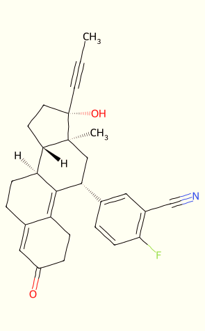 CC#C[C@]1(O)CC[C@H]2[C@@H]3CCC4=CC(=O)CCC4=C3[C@@H](c3ccc(F)c(C#N)c3)C[C@@]21C